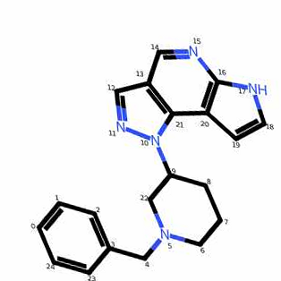 c1ccc(CN2CCCC(n3ncc4cnc5[nH]ccc5c43)C2)cc1